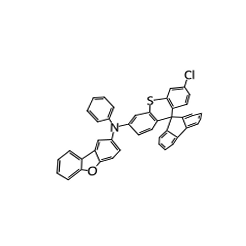 Clc1ccc2c(c1)Sc1cc(N(c3ccccc3)c3ccc4oc5ccccc5c4c3)ccc1C21c2ccccc2-c2ccccc21